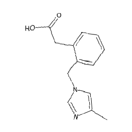 Cc1cn(Cc2ccccc2CC(=O)O)cn1